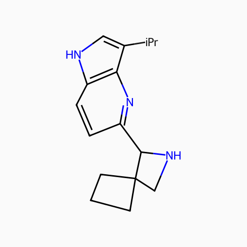 CC(C)c1c[nH]c2ccc(C3NCC34CCC4)nc12